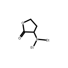 CCN(CC)C1CCOC1=O